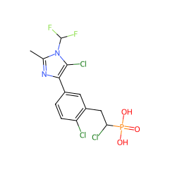 Cc1nc(-c2ccc(Cl)c(CC(Cl)P(=O)(O)O)c2)c(Cl)n1C(F)F